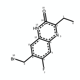 CCc1nc2cc(F)c(CBr)cc2[nH]c1=O